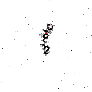 CC(C)(C)OC(=O)N1CC2CN(S(=O)(=O)c3ccc(CNC(=O)c4ccc5nccn5c4)cc3)C(CO2)C1